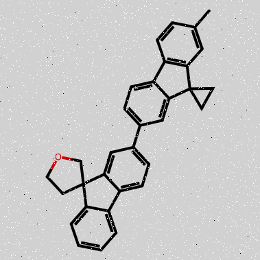 Cc1ccc2c(c1)C1(CC1)c1cc(-c3ccc4c(c3)C3(CCOC3)c3ccccc3-4)ccc1-2